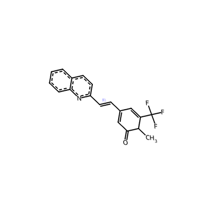 CC1C(=O)C=C(/C=C/c2ccc3ccccc3n2)C=C1C(F)(F)F